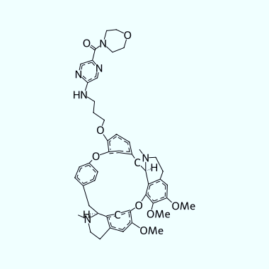 COc1cc2c3cc1Oc1c(OC)c(OC)cc4c1[C@@H](Cc1ccc(OCCCNc5cnc(C(=O)N6CCOCC6)cn5)c(c1)Oc1ccc(cc1)C[C@@H]3N(C)CC2)N(C)CC4